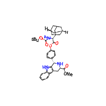 COC(=O)C1Cc2c([nH]c3ccccc23)[C@H](c2ccc(OC(=O)[C@@H](NC(=O)OC(C)(C)C)C34CC5C[C@H](C3)C[C@@H](C5)C4)cc2)N1